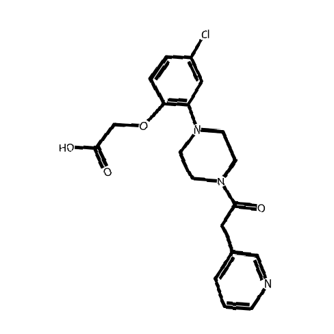 O=C(O)COc1ccc(Cl)cc1N1CCN(C(=O)Cc2cccnc2)CC1